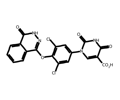 O=C(O)c1cn(-c2cc(Cl)c(Oc3n[nH]c(=O)c4ccccc34)c(Cl)c2)c(=O)[nH]c1=O